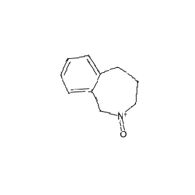 O=[N+]1CCCc2ccccc2C1